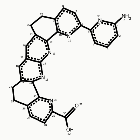 Nc1cccc(-c2ccc3c(n2)-c2nc4nc5c(cc4cc2CC3)CCc2ccc(C(=O)O)nc2-5)n1